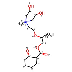 C[N+](CCO)(CCO)CCOC(COC(=O)C1CCCCC1=O)S(=O)(=O)O